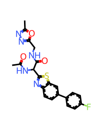 CC(=O)NC(C(=O)NCc1nnc(C)o1)c1nc2ccc(-c3ccc(F)cc3)cc2s1